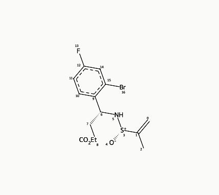 C=C(C)[S@+]([O-])N[C@H](CC(=O)OCC)c1ccc(F)cc1Br